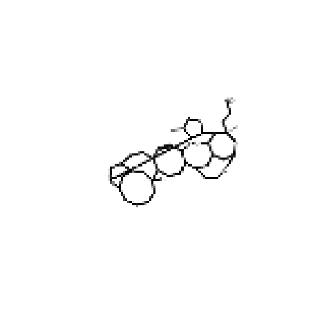 CC1CCC2C1C1CC3CCC4/C=C\C5CCC6C7CC(CCCC(C7)C5CCC4[C@@H]4CCCCC1CC3C4)C[C@](C)(CCN=O)C62